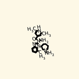 CC1=CC(C(=O)N(N)c2nc3cccc(C)c3n2[C@@H]2CCCCN(N)C2)=CC(C)N1